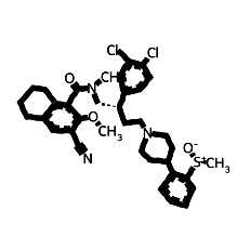 COc1c(C#N)cc2c(c1C(=O)N(C)C[C@@H](CCN1CCC(c3ccccc3[S@+](C)[O-])CC1)c1ccc(Cl)c(Cl)c1)CCCC2